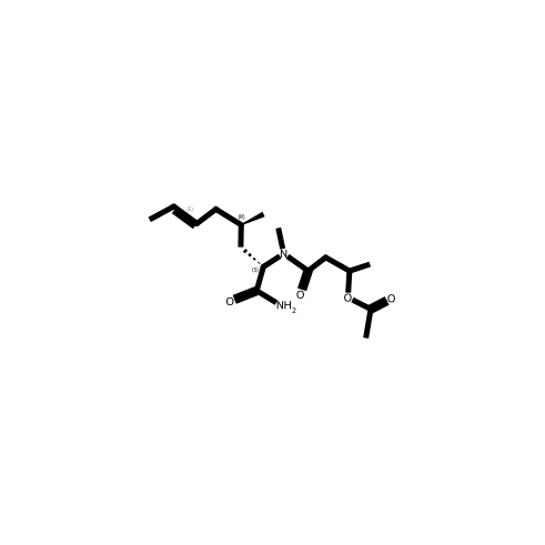 C/C=C/C[C@@H](C)C[C@@H](C(N)=O)N(C)C(=O)CC(C)OC(C)=O